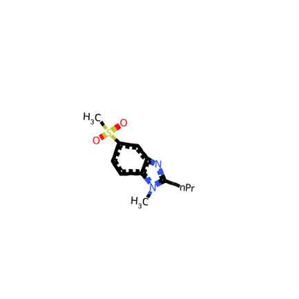 CCCc1nc2cc(S(C)(=O)=O)ccc2n1C